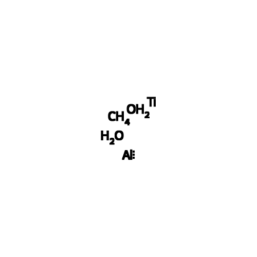 C.O.O.[Al].[Ti]